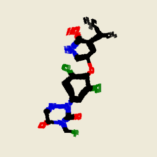 CC(C)C1=CC(Oc2c(Cl)cc(-n3ncc(=O)n(CF)c3=O)cc2Cl)=CNC1O